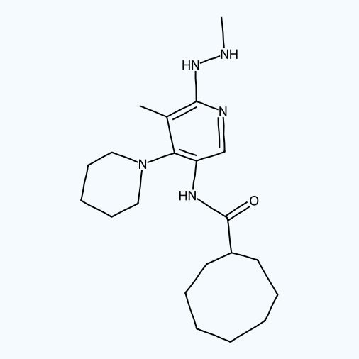 CNNc1ncc(NC(=O)C2CCCCCCC2)c(N2CCCCC2)c1C